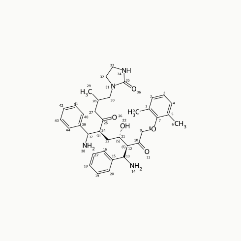 Cc1cccc(C)c1OCC(=O)[C@@H](C(N)c1ccccc1)[C@@H](O)C[C@H](C(=O)CC(C)CN1CCNC1=O)C(N)c1ccccc1